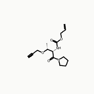 C#CCO[C@H](C)[C@H](NC(=O)OCC=C)C(=O)N1CCCC1